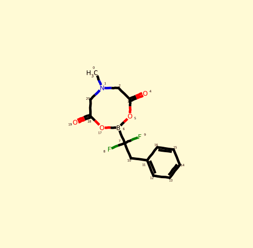 CN1CC(=O)OB(C(F)(F)Cc2ccccc2)OC(=O)C1